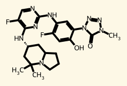 Cn1nnn(-c2cc(Nc3ncc(F)c(N[C@@H]4CC5CCCN5C(C)(C)C4)n3)c(F)cc2O)c1=O